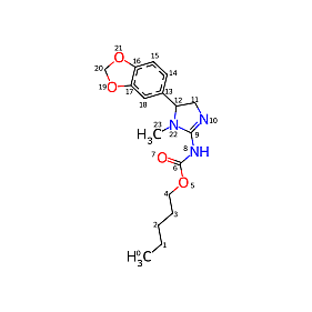 CCCCCOC(=O)NC1=NCC(c2ccc3c(c2)OCO3)N1C